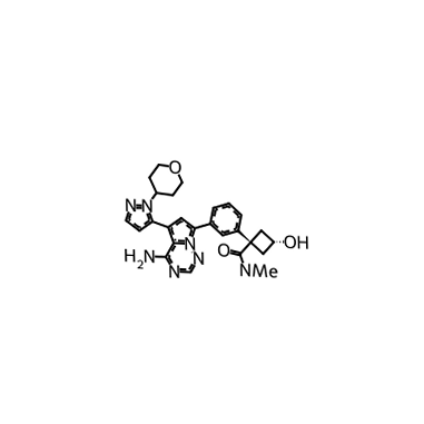 CNC(=O)[C@]1(c2cccc(-c3cc(-c4ccnn4C4CCOCC4)c4c(N)ncnn34)c2)C[C@H](O)C1